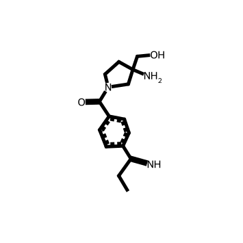 CCC(=N)c1ccc(C(=O)N2CCC(N)(CO)C2)cc1